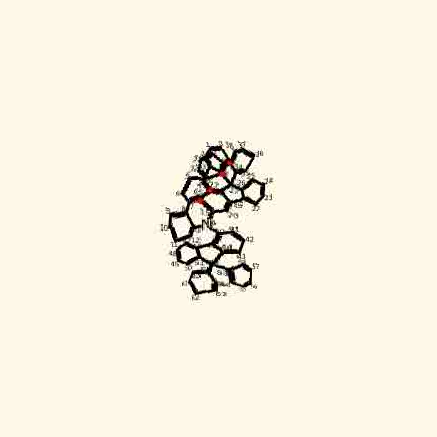 c1ccc(-c2ccc(-c3ccccc3N(c3ccc4c(c3)-c3ccccc3C4(c3ccccc3)c3ccccc3)c3cccc4c3-c3ccccc3C4(c3ccccc3)c3ccccc3)cc2)cc1